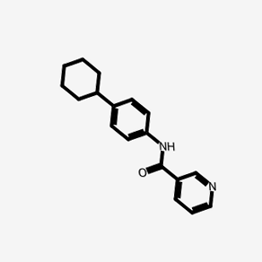 O=C(Nc1ccc(C2CCCCC2)cc1)c1cccnc1